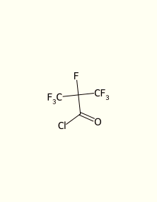 O=C(Cl)C(F)(C(F)(F)F)C(F)(F)F